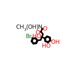 CN(O)C(=O)C(=O)CC(O)(Cc1cccc(Br)c1)c1ccc(O)c(O)c1